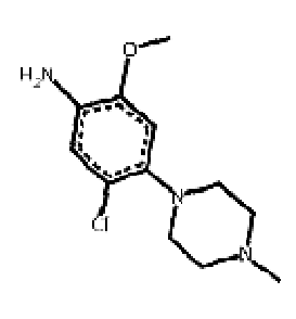 COc1cc(N2CCN(C)CC2)c(Cl)cc1N